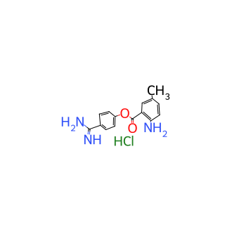 Cc1ccc(N)c(C(=O)Oc2ccc(C(=N)N)cc2)c1.Cl